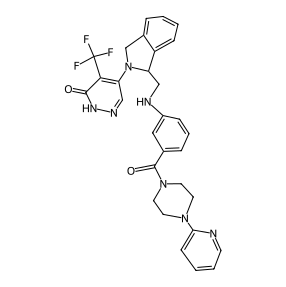 O=C(c1cccc(NCC2c3ccccc3CN2c2cn[nH]c(=O)c2C(F)(F)F)c1)N1CCN(c2ccccn2)CC1